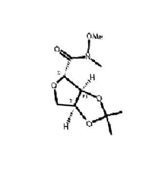 CON(C)C(=O)[C@H]1OC[C@@H]2OC(C)(C)O[C@@H]21